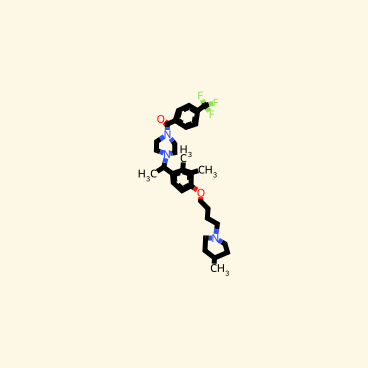 Cc1c(OCCCCN2CCC(C)CC2)ccc(C(C)N2CCN(C(=O)c3ccc(C(F)(F)F)cc3)CC2)c1C